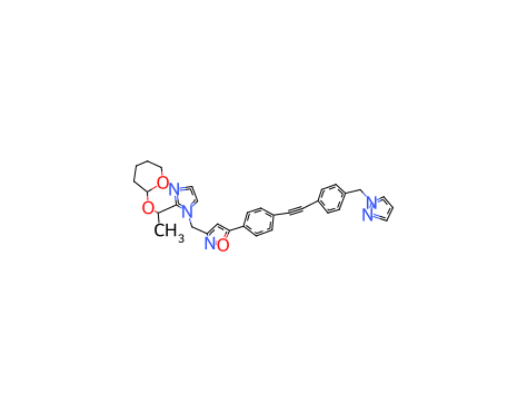 CC(OC1CCCCO1)c1nccn1Cc1cc(-c2ccc(C#Cc3ccc(Cn4cccn4)cc3)cc2)on1